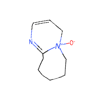 [O-][N+]12CC=CN=C1CCCC2